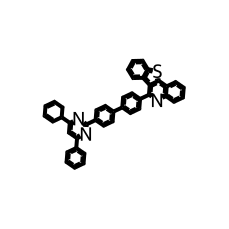 C1=CCC(c2cc(-c3ccccc3)nc(-c3ccc(-c4ccc(-c5nc6ccccc6c6sc7ccccc7c56)cc4)cc3)n2)C=C1